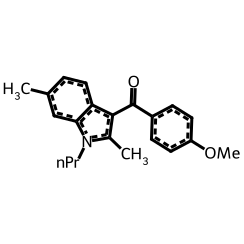 CCCn1c(C)c(C(=O)c2ccc(OC)cc2)c2ccc(C)cc21